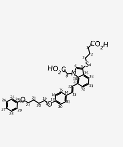 O=C(O)CCCSc1cn(CC(=O)O)c2c(/C=C/c3ccc(OCCCCOc4ccccc4)cc3)cccc12